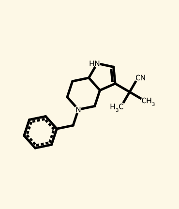 CC(C)(C#N)C1=CNC2CCN(Cc3ccccc3)CC12